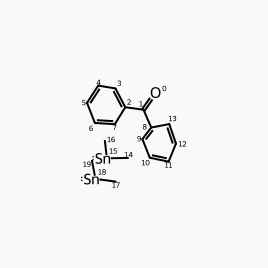 O=C(c1ccccc1)c1ccccc1.[CH3][Sn][CH3].[CH3][Sn][CH3]